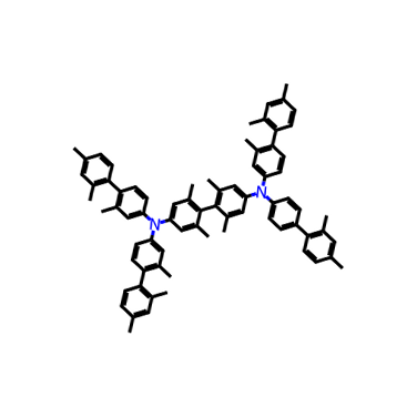 Cc1ccc(-c2ccc(N(c3ccc(-c4ccc(C)cc4C)c(C)c3)c3cc(C)c(-c4c(C)cc(N(c5ccc(-c6ccc(C)cc6C)c(C)c5)c5ccc(-c6ccc(C)cc6C)c(C)c5)cc4C)c(C)c3)cc2)c(C)c1